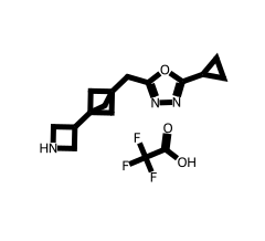 C1CC1c1nnc(CC23CC(C4CNC4)(C2)C3)o1.O=C(O)C(F)(F)F